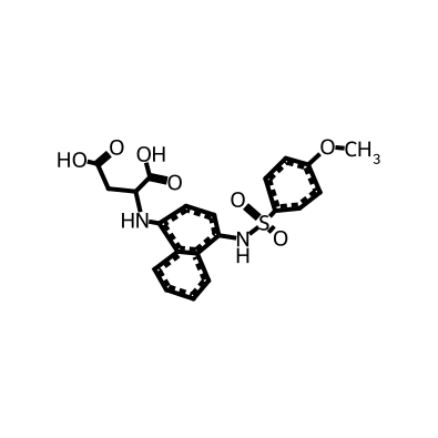 COc1ccc(S(=O)(=O)Nc2ccc(NC(CC(=O)O)C(=O)O)c3ccccc23)cc1